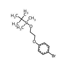 CC(C)(C)[Si](C)(C)OCCOc1ccc(Br)cc1